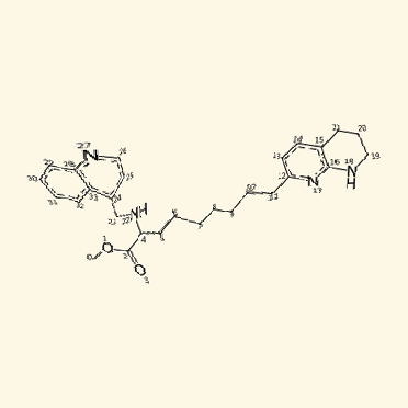 COC(=O)C(CCCCCCCc1ccc2c(n1)NCCC2)NCc1ccnc2ccccc12